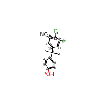 CC(C)(c1ccc(O)cc1)c1cc(F)c(F)c(C#N)c1